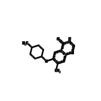 Cc1cc2nc[nH]c(=O)c2cc1OC1CCC(C)CC1